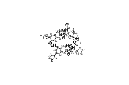 CCC1(C(=O)O)CC1C(CS(=O)(=O)N1CCc2cc(OC)c(OC)cc2C1)N(O)C=O.O=CN(O)C(CS(=O)(=O)N1CCc2ccc(-c3ccsc3)cc2C1)C1CCCC1